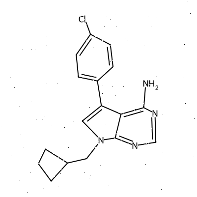 Nc1ncnc2c1c(-c1ccc(Cl)cc1)cn2CC1CCC1